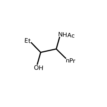 CCCC(NC(C)=O)C(O)CC